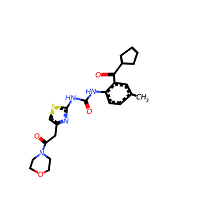 Cc1ccc(NC(=O)Nc2nc(CC(=O)N3CCOCC3)cs2)c(C(=O)C2CCCC2)c1